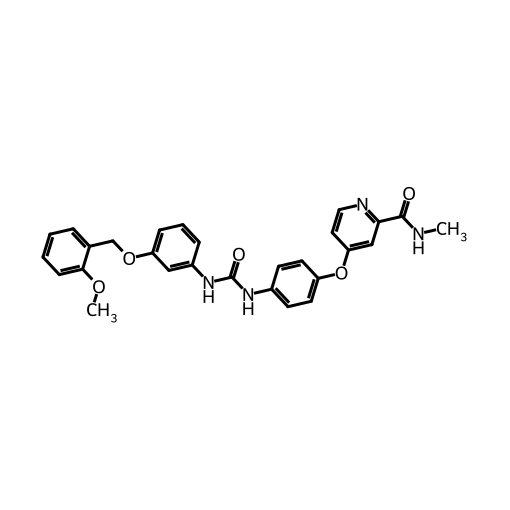 CNC(=O)c1cc(Oc2ccc(NC(=O)Nc3cccc(OCc4ccccc4OC)c3)cc2)ccn1